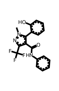 Cn1nc(C(F)(F)F)c(C(=O)Nc2ccccc2)c1-c1ccccc1O